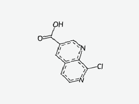 O=C(O)c1cnc2c(Cl)nccc2c1